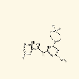 Cc1cc(Nc2n[nH]c3ncc(F)cc23)nc(C2CCC(F)(F)CC2)n1